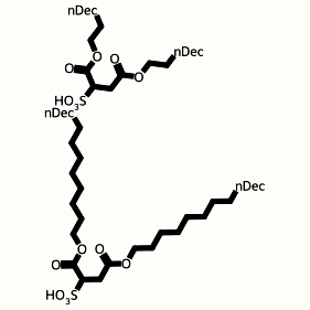 CCCCCCCCCCCCCCCCCCOC(=O)CC(C(=O)OCCCCCCCCCCCCCCCCCC)S(=O)(=O)O.CCCCCCCCCCCCOC(=O)CC(C(=O)OCCCCCCCCCCCC)S(=O)(=O)O